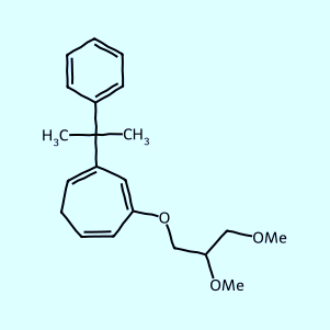 COCC(COC1=CC(C(C)(C)c2ccccc2)=CCC=C1)OC